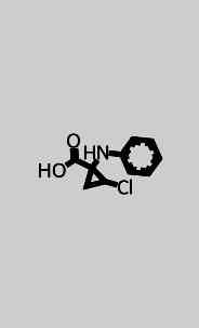 O=C(O)C1(Nc2ccccc2)CC1Cl